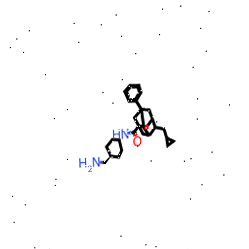 NC[C@H]1CC[C@H](NC(=O)C23CC4CC(c5ccccc5)(CC(C2)C4CC2CC2)C3)CC1